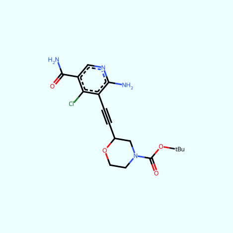 CC(C)(C)OC(=O)N1CCOC(C#Cc2c(N)ncc(C(N)=O)c2Cl)C1